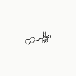 O=S1NC(/C=C/c2ccc3ccccc3c2)=NO1